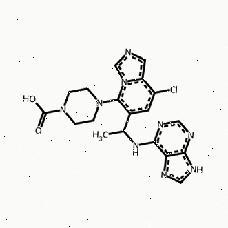 CC(Nc1ncnc2[nH]cnc12)c1cc(Cl)c2cncn2c1N1CCN(C(=O)O)CC1